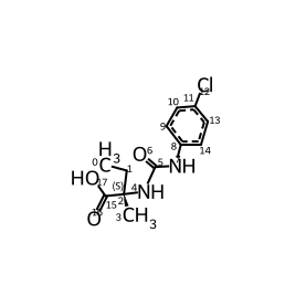 CC[C@](C)(NC(=O)Nc1ccc(Cl)cc1)C(=O)O